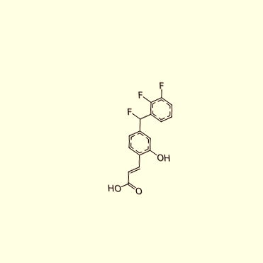 O=C(O)C=Cc1ccc(C(F)c2cccc(F)c2F)cc1O